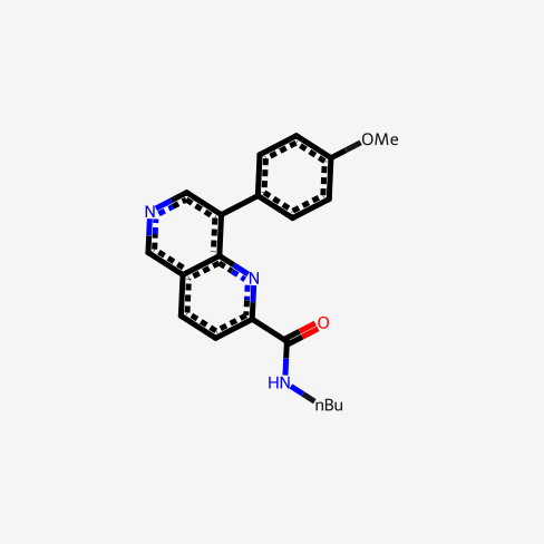 CCCCNC(=O)c1ccc2cncc(-c3ccc(OC)cc3)c2n1